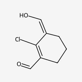 O=CC1=C(Cl)/C(=C\O)CCC1